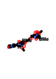 C=CCOC(=O)N1C[C@@H]2CC(c3ccc(N4CCOCC4)cc3)=CN2C(=O)c2cc(OC)c(OCCCCCOC3CC34CC3C(O)N(C(=O)OCC=C)c5ccc(OC)cc5C(=O)N3C4)cc21